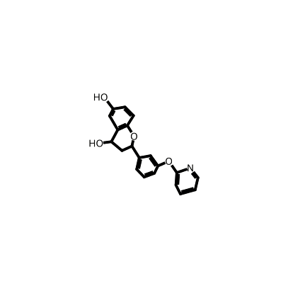 Oc1ccc2c(c1)C(O)CC(c1cccc(Oc3ccccn3)c1)O2